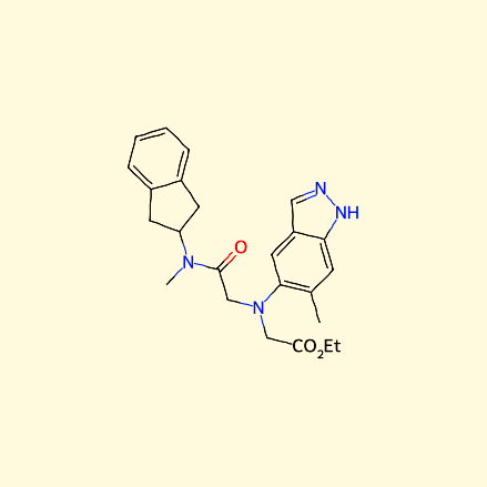 CCOC(=O)CN(CC(=O)N(C)C1Cc2ccccc2C1)c1cc2cn[nH]c2cc1C